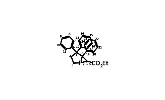 CCOC(=O)C1P2CCC(c3ccccc3)(c3ccccc3)C12c1ccccc1